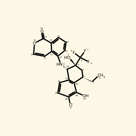 CC[C@H]1C[C@@](O)(C(F)(F)F)[C@@H](Nc2cccc3c(=O)occc23)c2ccc(Cl)c(O)c21